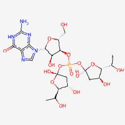 CC(O)[C@H]1O[C@](O)(OP(=O)(O[C@H]2[C@@H](O)[C@H](n3cnc4c(=O)[nH]c(N)nc43)O[C@@H]2CO)O[C@]2(O)C[C@H](O)[C@@H](C(C)O)O2)C[C@@H]1O